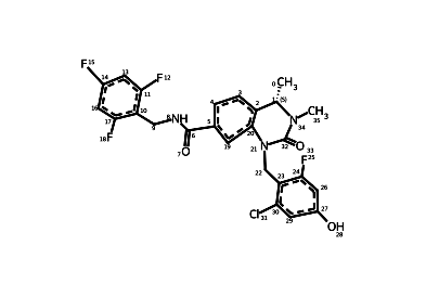 C[C@H]1c2ccc(C(=O)NCc3c(F)cc(F)cc3F)cc2N(Cc2c(F)cc(O)cc2Cl)C(=O)N1C